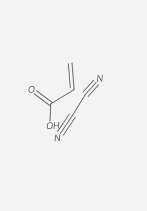 C=CC(=O)O.N#CC#N